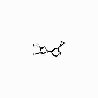 CCc1cn(-c2ccnc(C3CC3)c2)nc1C